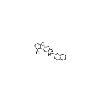 Clc1cccc2oc3cc4sc(-c5ccc6ccccc6c5)nc4cc3c12